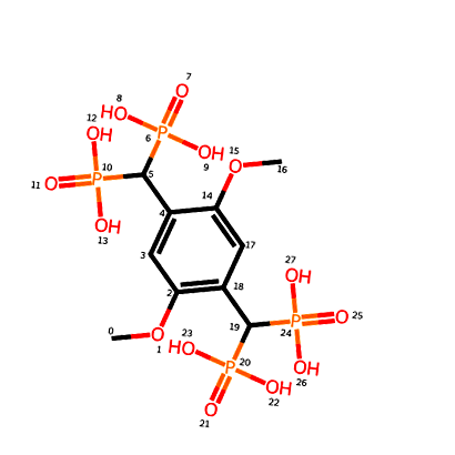 COc1cc(C(P(=O)(O)O)P(=O)(O)O)c(OC)cc1C(P(=O)(O)O)P(=O)(O)O